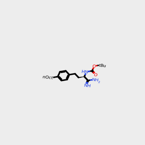 CCCCCCCCc1ccc(CC[C@@H](NC(=O)OC(C)(C)C)C(=N)N)cc1